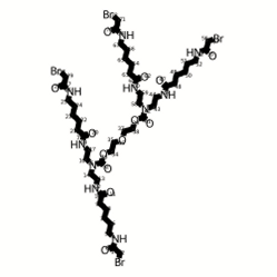 O=C(CBr)NCCCCCC(=O)NCCN(CCNC(=O)CCCCCNC(=O)CBr)C(=O)OCCOCCOC(=O)N(CCNC(=O)CCCCCNC(=O)CBr)CCNC(=O)CCCCCNC(=O)CBr